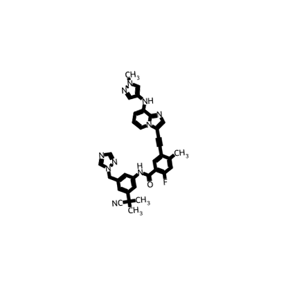 Cc1cc(F)c(C(=O)Nc2cc(Cn3cncn3)cc(C(C)(C)C#N)c2)cc1C#Cc1cnc2c(Nc3cnn(C)c3)cccn12